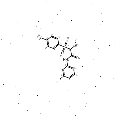 CC(C)C(C(=O)Nc1cc(C(F)(F)F)ccn1)S(=O)(=O)c1ccc(C(F)(F)F)cc1